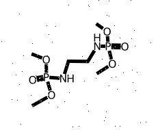 COP(=O)(NCCNP(=O)(OC)OC)OC